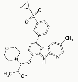 Cc1cnc2[nH]c3c(OC(C(C)O)N4CCOCC4)ccc(-c4cccc(S(=O)(=O)C5CC5)c4)c3c2c1